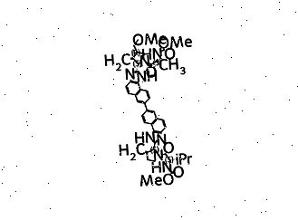 C=C1CCN(C(=O)[C@@H](NC(=O)OC)C(C)C)[C@@H]1c1nc2ccc3cc(-c4ccc5c(ccc6nc([C@@H]7C(=C)[C@@H](COC)CN7C(=O)[C@H](C)NC(=O)OC)[nH]c65)c4)ccc3c2[nH]1